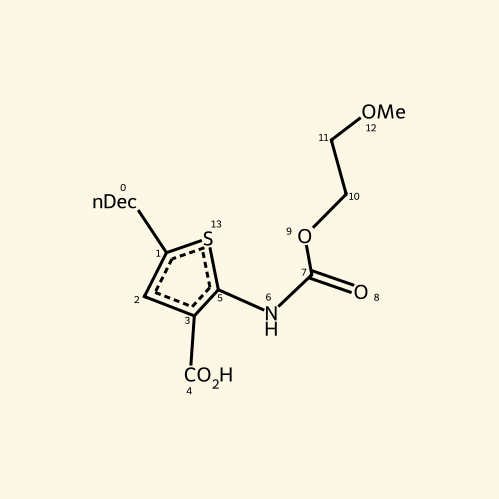 CCCCCCCCCCc1cc(C(=O)O)c(NC(=O)OCCOC)s1